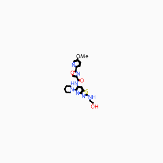 COc1ccc(-c2nc(C(=O)Nc3cc4sc(NCCO)nc4nc3N3CCCCC3)co2)nc1